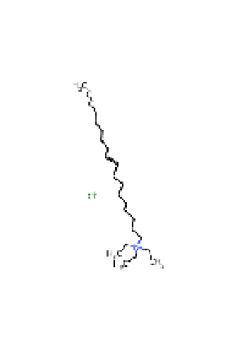 CCCCCCCCC=CCCCCCCCC[N+](CC)(CC)CC.[Cl-]